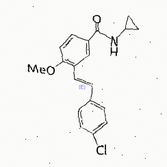 COc1ccc(C(=O)NC2CC2)cc1/C=C/c1ccc(Cl)cc1